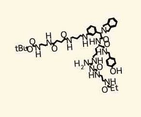 CCC(=O)NCCNC(=O)/N=C(/N)NCCC[C@@H](NC(=O)[C@H](c1cccc(NCCCNC(=O)CCC(=O)NCCNC(=O)OC(C)(C)C)c1)N1Cc2ccccc2C1)C(=O)NCc1ccc(O)cc1